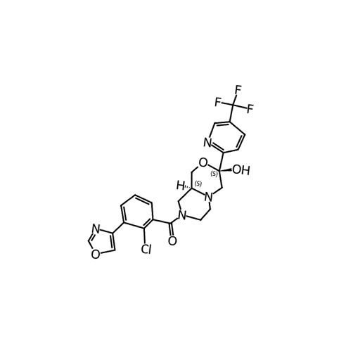 O=C(c1cccc(-c2cocn2)c1Cl)N1CCN2C[C@@](O)(c3ccc(C(F)(F)F)cn3)OC[C@@H]2C1